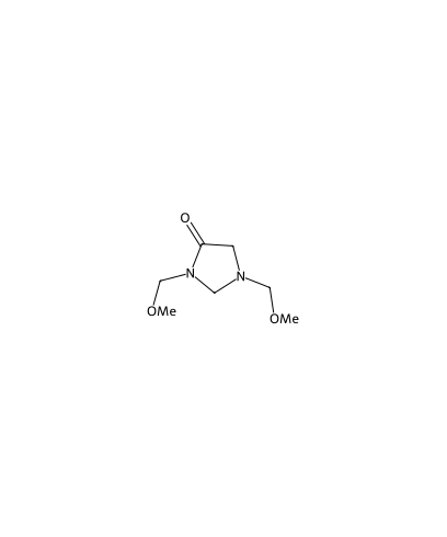 COCN1CC(=O)N(COC)C1